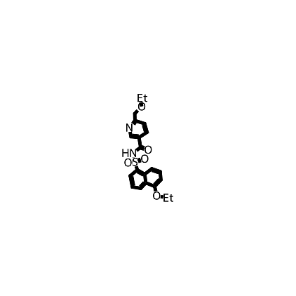 CCOCc1ccc(C(=O)NS(=O)(=O)c2cccc3c(OCC)cccc23)cn1